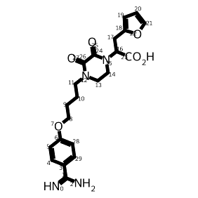 N=C(N)c1ccc(OCCCCN2CCN(C(Cc3ccco3)C(=O)O)C(=O)C2=O)cc1